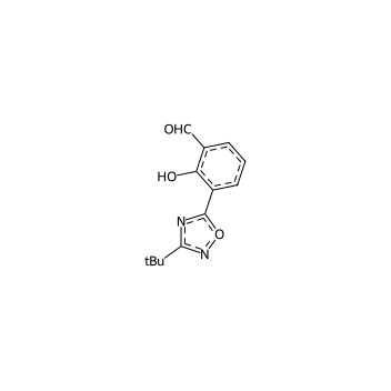 CC(C)(C)c1noc(-c2cccc(C=O)c2O)n1